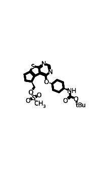 CC(C)(C)OC(=O)N[C@H]1CC[C@H](Oc2ncnc3sc4c(c23)[C@@H](COS(C)(=O)=O)CC4)CC1